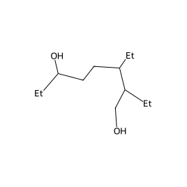 CCC(O)CCC(CC)C(CC)CO